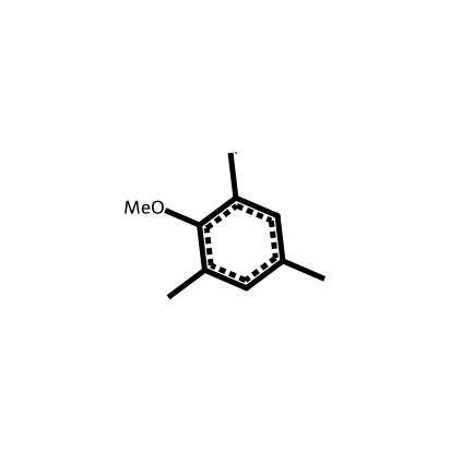 [CH2]c1cc(C)cc(C)c1OC